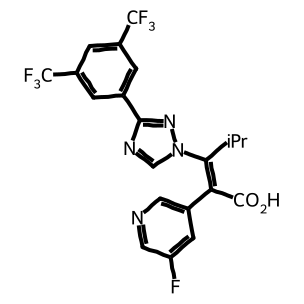 CC(C)/C(=C(\C(=O)O)c1cncc(F)c1)n1cnc(-c2cc(C(F)(F)F)cc(C(F)(F)F)c2)n1